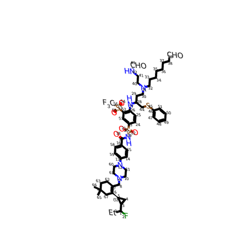 CCC(F)C1C[C@@H]1C1=C(CN2CCN(c3ccc(C(=O)NS(=O)(=O)c4ccc(NC(CCN(CCCCCCCC=O)CCNC=O)CSc5ccccc5)c(S(=O)(=O)C(F)(F)F)c4)cc3)CC2)CCC(C)(C)C1